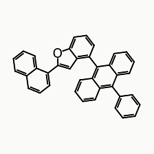 c1ccc(-c2c3ccccc3c(-c3cccc4oc(-c5cccc6ccccc56)cc34)c3ccccc23)cc1